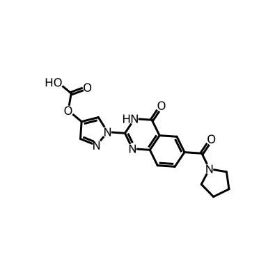 O=C(O)Oc1cnn(-c2nc3ccc(C(=O)N4CCCC4)cc3c(=O)[nH]2)c1